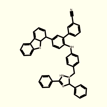 N#Cc1cccc(-c2cc(C3C=CC=C4c5ccccc5SC43)ccc2Nc2ccc(CN3NC(c4ccccc4)=NC3c3ccccc3)cc2)c1